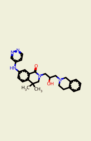 CC1(C)CN(CC(O)CN2CCc3ccccc3C2)C(=O)c2cc(Nc3ccnnc3)ccc21